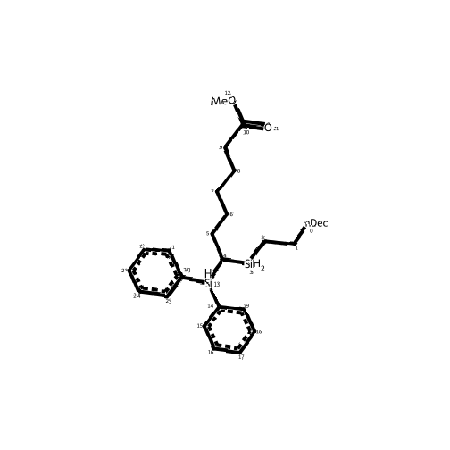 CCCCCCCCCCCC[SiH2]C(CCCCCC(=O)OC)[SiH](c1ccccc1)c1ccccc1